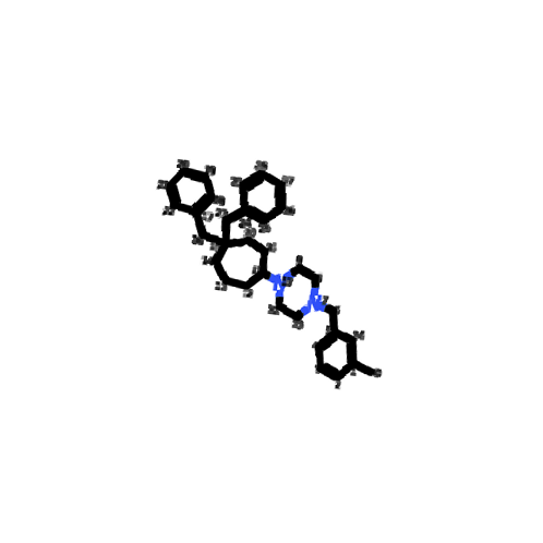 Cc1cccc(CN2CCN(C3CCCC(Cc4ccccc4)(Cc4ccccc4)CC3)CC2)c1